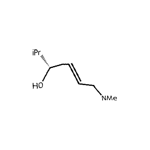 CNC/C=C/[C@H](O)C(C)C